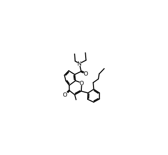 CCCCc1ccccc1-c1oc2c(C(=O)N(CC)CC)cccc2c(=O)c1C